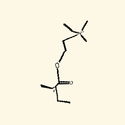 CC[C@@H](C)C(=O)OCC[N+](C)(C)C